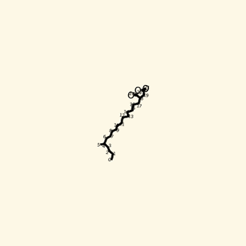 CCCCC(C)CCCCCCCCCCCCC1CC(=O)OC1=O